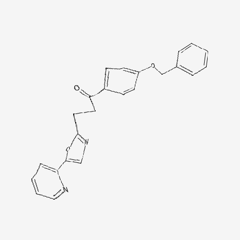 O=C(CCc1ncc(-c2ccccn2)o1)c1ccc(OCc2ccccc2)cc1